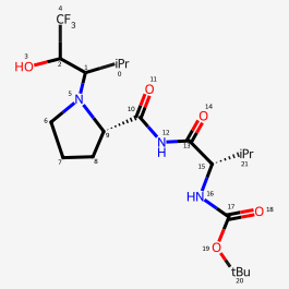 CC(C)C(C(O)C(F)(F)F)N1CCC[C@H]1C(=O)NC(=O)[C@@H](NC(=O)OC(C)(C)C)C(C)C